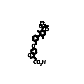 CCOC1c2c(cc(C)c(-c3cccc(COc4ccc5c(c4)OCC5CC(=O)O)c3)c2C)OC1(C)C